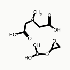 CN(CC(=O)O)CC(=O)O.OB(O)OC1CO1